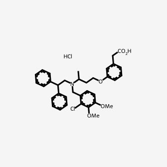 COc1ccc(CN(CC(c2ccccc2)c2ccccc2)C(C)CCOc2cccc(CC(=O)O)c2)c(Cl)c1OC.Cl